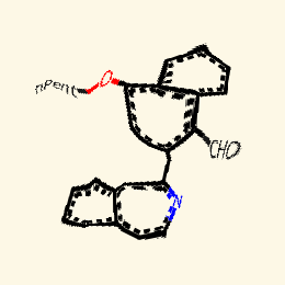 CCCCCOc1cc(-c2nccc3ccccc23)c(C=O)c2ccccc12